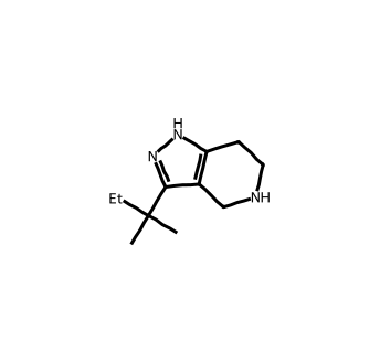 CCC(C)(C)c1n[nH]c2c1CNCC2